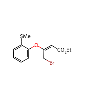 CCOC(=O)C=C(CBr)Oc1ccccc1SC